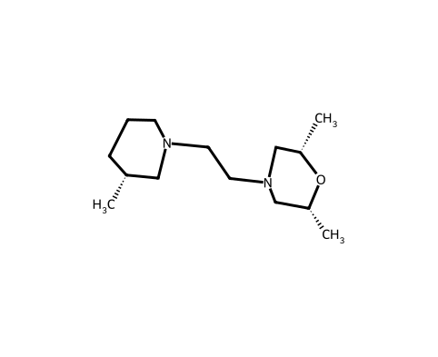 C[C@@H]1CCCN(CCN2C[C@@H](C)O[C@@H](C)C2)C1